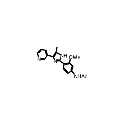 COc1cc(NC(C)=O)ccc1-c1nc(-c2cccnc2)c(C)[nH]1